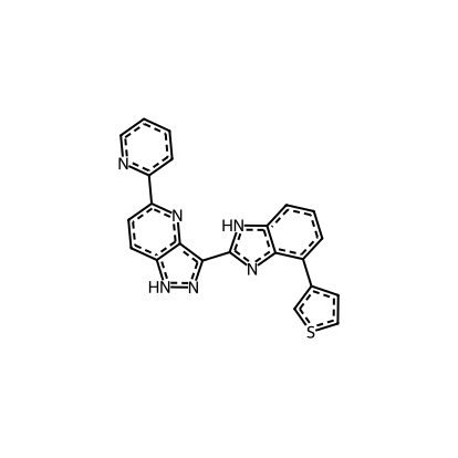 c1ccc(-c2ccc3[nH]nc(-c4nc5c(-c6ccsc6)cccc5[nH]4)c3n2)nc1